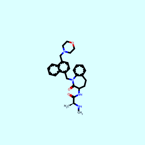 CN[C@@H](C)C(=O)NC1CCc2ccccc2N(Cc2ccc(CN3CCOCC3)c3ccccc23)C1=O